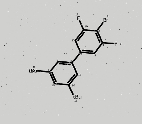 CC(C)(C)c1cc(-c2cc(F)c(Br)c(F)c2)cc(C(C)(C)C)c1